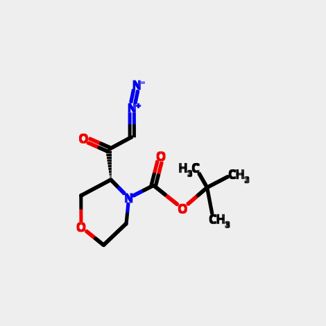 CC(C)(C)OC(=O)N1CCOC[C@@H]1C(=O)C=[N+]=[N-]